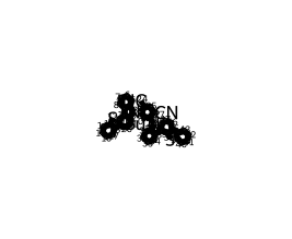 CC(C)(C)c1c(-n2c3ccccc3c3c4sc5ccccc5c4ccc32)c(C#N)cc(C#N)c1-n1c2ccccc2c2c3sc4ccccc4c3ccc21